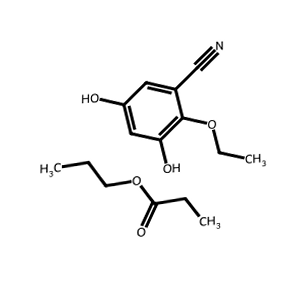 CCCOC(=O)CC.CCOc1c(O)cc(O)cc1C#N